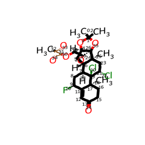 CC1(C)O[C@@H]2C[C@H]3[C@@H]4C[C@H](F)C5=CC(=O)CC[C@]5(C)[C@@]4(Cl)[C@@H](Cl)C[C@]3(C)[C@]2(C(=O)COS(C)(=O)=O)O1